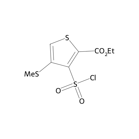 CCOC(=O)c1scc(SC)c1S(=O)(=O)Cl